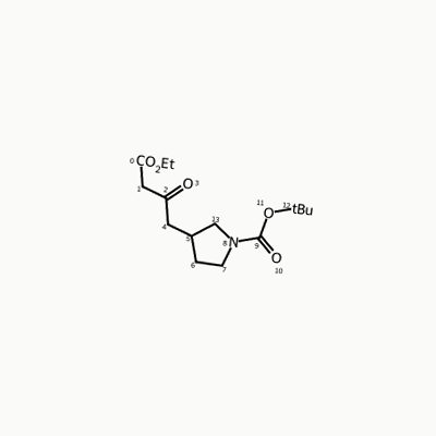 CCOC(=O)CC(=O)CC1CCN(C(=O)OC(C)(C)C)C1